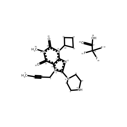 CC#CCn1c(N2CCNCC2)nc2c1c(=O)n(C)c(=O)n2C1CCC1.O=C(O)C(F)(F)F